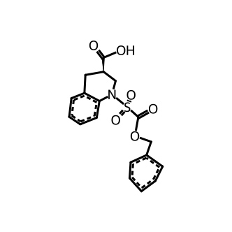 O=C(O)[C@@H]1Cc2ccccc2N(S(=O)(=O)C(=O)OCc2ccccc2)C1